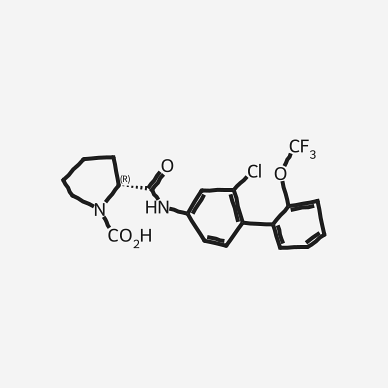 O=C(Nc1ccc(-c2ccccc2OC(F)(F)F)c(Cl)c1)[C@H]1CCCCN1C(=O)O